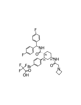 O=C(CN1CCC1)N[C@@H]1CC[C@@H](C(=O)NC(c2ccc(F)cc2)c2ccc(F)cc2)[C@H](c2ccc(Br)cc2)C1.O=C(O)C(F)(F)F